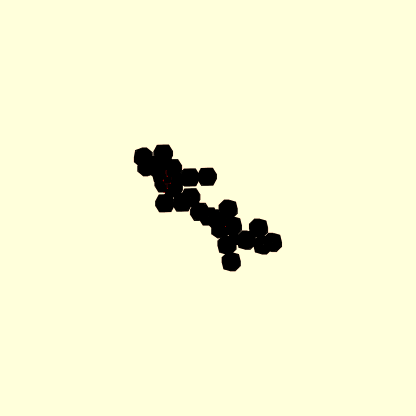 c1ccc(-c2ccc(N(c3ccc(-c4ccccc4)c(-c4cccc5c(-c6ccc7cc8c9ccccc9n(-c9ccccc9-c9ccc(N(c%10cccc(-c%11ccccc%11)c%10)c%10ccc(-c%11ccc%12ccccc%12c%11)c(-c%11ccccc%11)c%10)cc9)c8cc7c6)cccc45)c3)c3ccc(-c4ccccc4-n4c5ccccc5c5ccc6ccccc6c54)cc3-c3ccccc3)cc2)cc1